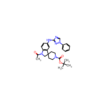 CC(=O)N1CC2(CCN(C(=O)OC(C)(C)C)CC2)c2cc(Nc3ncn(-c4ccccc4)n3)ccc21